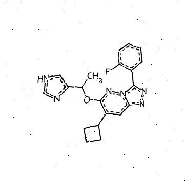 CC(Oc1nn2c(-c3ccccc3F)nnc2cc1C1CCC1)c1c[nH]cn1